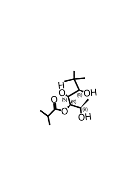 CC(C)C(=O)O[C@@H]([C@@H](O)[C@H](O)C(C)(C)C)[C@@H](C)O